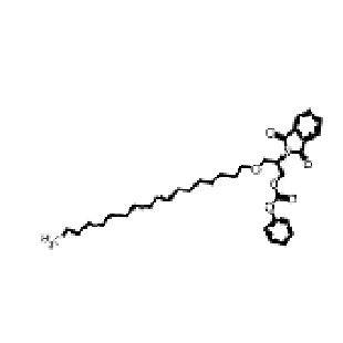 CCCCCCCCCCCCCCCCCCOCC(COC(=O)Oc1ccccc1)N1C(=O)c2ccccc2C1=O